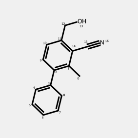 Cc1c(-c2ccccc2)ccc(CO)c1C#N